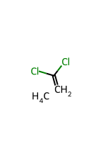 C.C=C(Cl)Cl